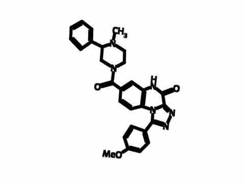 COc1ccc(-c2nnc3c(=O)[nH]c4cc(C(=O)N5CCN(C)C(c6ccccc6)C5)ccc4n23)cc1